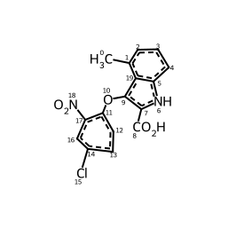 Cc1cccc2[nH]c(C(=O)O)c(Oc3ccc(Cl)cc3[N+](=O)[O-])c12